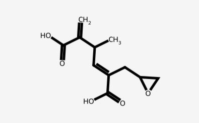 C=C(C(=O)O)C(C)C=C(CC1CO1)C(=O)O